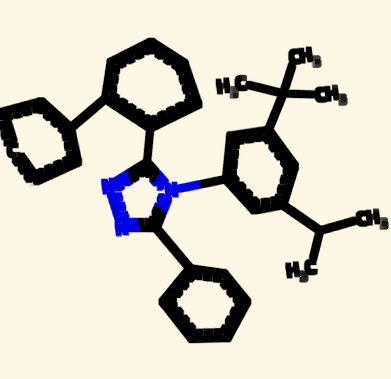 CC(C)c1cc(-n2c(-c3ccccc3)nnc2-c2ccccc2-c2ccccc2)cc(C(C)(C)C)c1